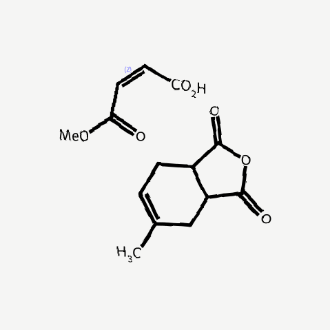 CC1=CCC2C(=O)OC(=O)C2C1.COC(=O)/C=C\C(=O)O